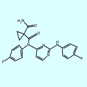 NC(=O)C1(C(=O)N(c2ccc(F)cc2)c2ccnc(Nc3ccc(F)cc3)n2)CC1